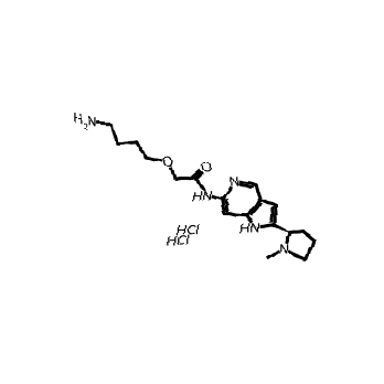 CN1CCC[C@@H]1c1cc2cnc(NC(=O)COCCCCN)cc2[nH]1.Cl.Cl